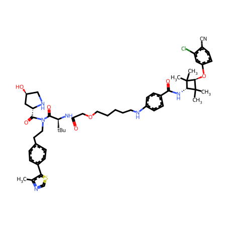 Cc1ncsc1-c1ccc(CCN(C(=O)[C@@H]2C[C@@H](O)CN2)C(=O)[C@@H](NC(=O)COCCCCCNc2ccc(C(=O)N[C@H]3C(C)(C)[C@H](Oc4ccc(C#N)c(Cl)c4)C3(C)C)cc2)C(C)(C)C)cc1